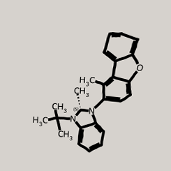 Cc1c(N2c3ccccc3N(C(C)(C)C)[C@@H]2C)ccc2oc3ccccc3c12